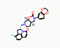 O=C1O[C@H]2CN(C[C@H]3Cc4c(F)ccc5ccc(=O)n3c45)CC[C@@H]2CN1c1ccc2c(c1)OCCO2